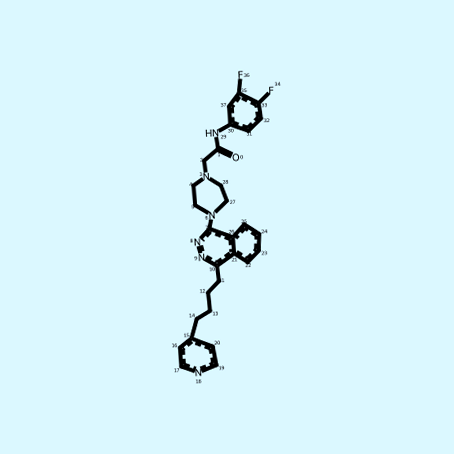 O=C(CN1CCN(c2nnc(CCCCc3ccncc3)c3ccccc23)CC1)Nc1ccc(F)c(F)c1